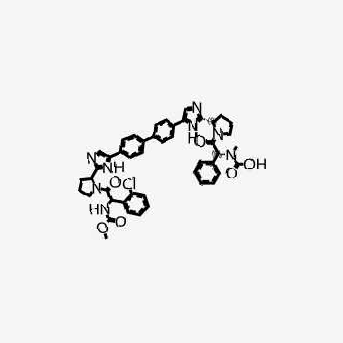 COC(=O)NC(C(=O)N1CCCC1c1ncc(-c2ccc(-c3ccc(-c4cnc([C@@H]5CCCN5C(=O)[C@@H](c5ccccc5)N(C)C(=O)O)[nH]4)cc3)cc2)[nH]1)c1ccccc1Cl